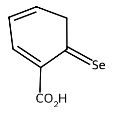 O=C(O)C1=CC=CCC1=[Se]